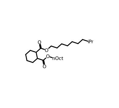 CCCCCCCCOC(=O)C1CCCCC1C(=O)OCCCCCCCC(C)C